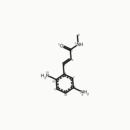 CNC(=O)/C=C/c1cc(N)ccc1N